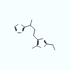 CCc1nc(CCC(C)c2nnco2)c(C)o1